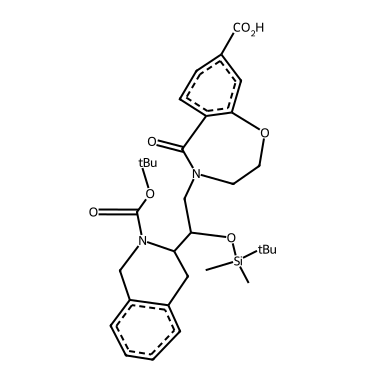 CC(C)(C)OC(=O)N1Cc2ccccc2CC1C(CN1CCOc2cc(C(=O)O)ccc2C1=O)O[Si](C)(C)C(C)(C)C